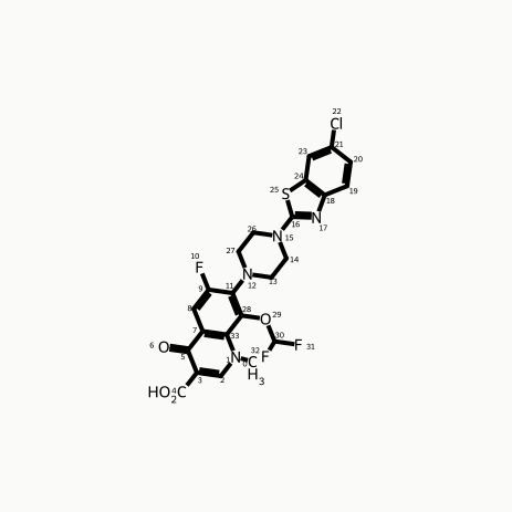 Cn1cc(C(=O)O)c(=O)c2cc(F)c(N3CCN(c4nc5ccc(Cl)cc5s4)CC3)c(OC(F)F)c21